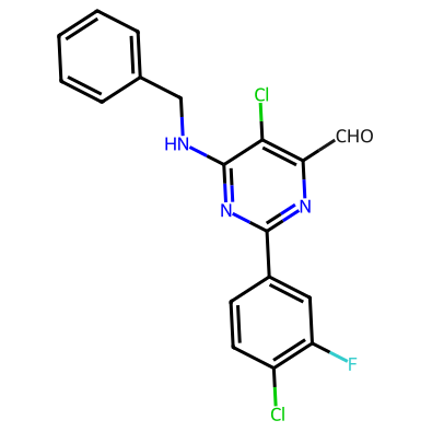 O=Cc1nc(-c2ccc(Cl)c(F)c2)nc(NCc2ccccc2)c1Cl